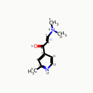 Cc1cc(C(=O)/C=C/N(C)C)ccn1